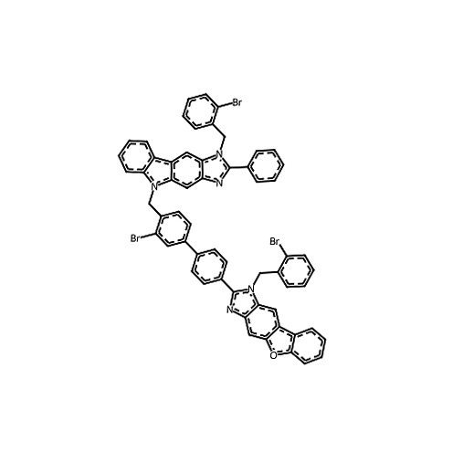 Brc1ccccc1Cn1c(-c2ccc(-c3ccc(Cn4c5ccccc5c5cc6c(cc54)nc(-c4ccccc4)n6Cc4ccccc4Br)c(Br)c3)cc2)nc2cc3oc4ccccc4c3cc21